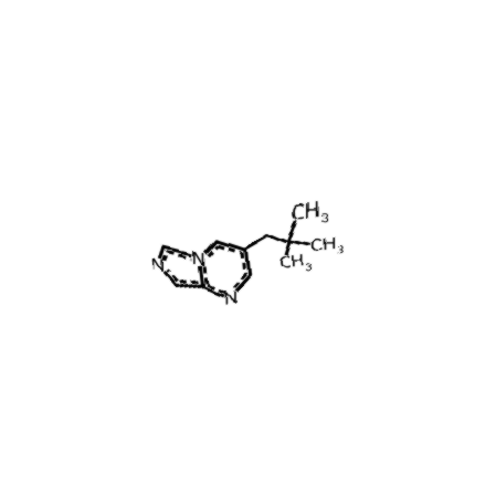 CC(C)(C)Cc1cnc2cncn2c1